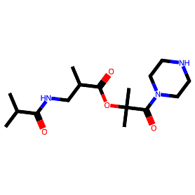 CC(C)C(=O)NCC(C)C(=O)OC(C)(C)C(=O)N1CCNCC1